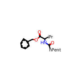 CCCCCC(=O)NC(C(=O)OCc1ccccc1)C(C)C